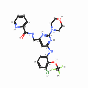 O=C(NCc1cc(Nc2cccc(Cl)c2OC(F)(F)F)nc(N2CCOCC2)n1)c1ccccn1